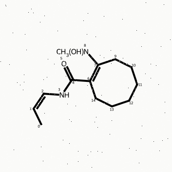 C/C=C\NC(=O)/C1=C(\N(C)O)CCCCCC1